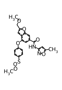 COCc1cc2c(Oc3ccc(SOOC)cc3)cc(C(=O)Nc3cc(C)on3)cc2o1